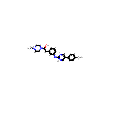 COc1ccc(-c2cnc(Nc3cccc(CC(=O)N4CCN(C)CC4)c3)nc2)cc1